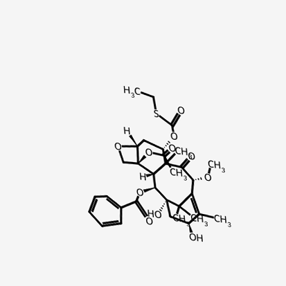 CCSC(=O)O[C@H]1C[C@H]2OC[C@@]2(OC(C)=O)[C@H]2[C@H](OC(=O)c3ccccc3)[C@]3(O)C[C@H](O)C(C)=C([C@@H](OC)C(=O)C12C)C3(C)C